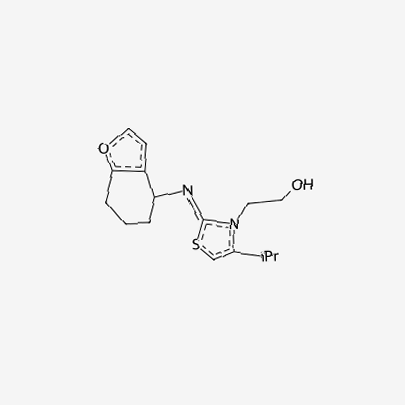 CC(C)c1cs/c(=N\C2CCCc3occc32)n1CCO